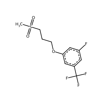 CS(=O)(=O)CCCOc1cc(F)cc(C(F)(F)F)c1